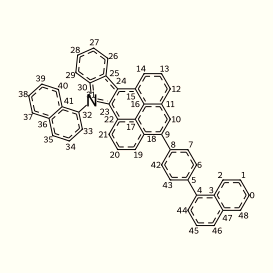 c1ccc2c(-c3ccc(-c4cc5cccc6c5c5c4cccc5c4c6c5ccccc5n4-c4cccc5ccccc45)cc3)cccc2c1